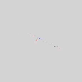 O=C(O)COCC(=O)NCCCCCCO